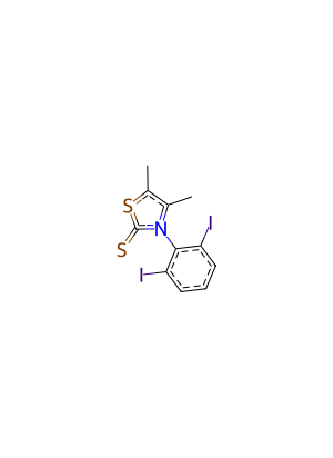 Cc1sc(=S)n(-c2c(I)cccc2I)c1C